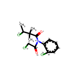 CC(Cl)C(C)(C)C(=O)N(C(=O)CCl)c1ccccc1Cl